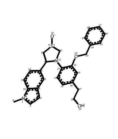 Cn1ccc2cc(C3C[S+]([O-])CN3c3ccc(CCO)cc3OCc3ccccc3)ccc21